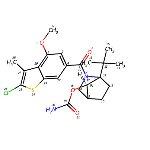 COc1cc(C(=O)N2CC3CCC2(C(C)(C)C)[C@@H]3OC(N)=O)cc2sc(Cl)c(C)c12